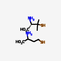 CC(C)(S)[C@@H](N)C(=O)O.NC(CCS)C(=O)O